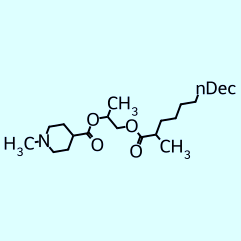 CCCCCCCCCCCCCCC(C)C(=O)OCC(C)OC(=O)C1CCN(C)CC1